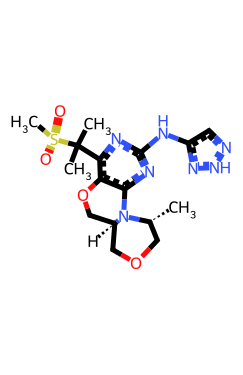 C[C@@H]1COC[C@H]2COc3c(nc(Nc4cn[nH]n4)nc3C(C)(C)S(C)(=O)=O)N21